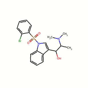 CC(C(O)c1cn(S(=O)(=O)c2ccccc2Br)c2ccccc12)N(C)C